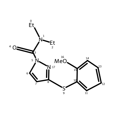 CCN(CC)C(=O)n1ccc(Sc2ccccc2OC)n1